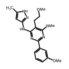 CNc1nc(-c2cccc(OC)c2)nc(Nc2cc(C)[nH]n2)c1CCOC